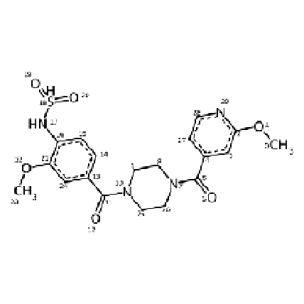 COc1cc(C(=O)N2CCN(C(=O)c3ccc(N[SH](=O)=O)c(OC)c3)CC2)ccn1